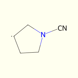 N#CN1C[CH]CC1